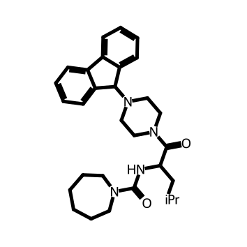 CC(C)CC(NC(=O)N1CCCCCC1)C(=O)N1CCN(C2c3ccccc3-c3ccccc32)CC1